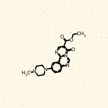 CCOC(=O)c1cnc2c3cc(N4CCN(C)CC4)ccc3ncn2c1=O